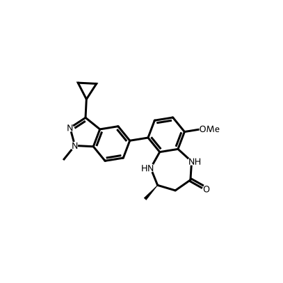 COc1ccc(-c2ccc3c(c2)c(C2CC2)nn3C)c2c1NC(=O)C[C@@H](C)N2